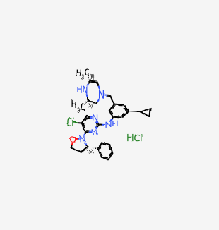 C[C@@H]1CN(Cc2cc(Nc3ncc(Cl)c(N4OCC[C@H]4c4ccccc4)n3)cc(C3CC3)c2)C[C@H](C)N1.Cl